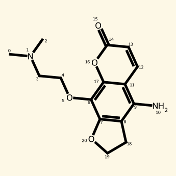 CN(C)CCOc1c2c(c(N)c3ccc(=O)oc13)CCO2